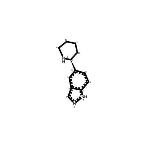 c1cc2[nH]ncc2cc1[C@@H]1CCCCN1